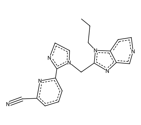 CCCn1c(Cn2ccnc2-c2cccc(C#N)n2)nc2cnccc21